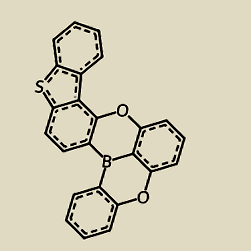 c1ccc2c(c1)Oc1cccc3c1B2c1ccc2sc4ccccc4c2c1O3